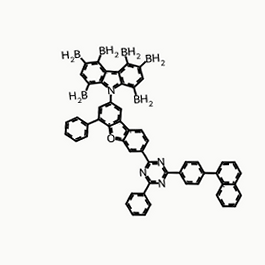 Bc1cc(B)c2c(c1B)c1c(B)c(B)cc(B)c1n2-c1cc(-c2ccccc2)c2oc3cc(-c4nc(-c5ccccc5)nc(-c5ccc(-c6cccc7ccccc67)cc5)n4)ccc3c2c1